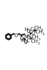 CC(C)(C)OC(=O)N(N1CC(COCc2ccccc2)OC1=O)C(C)(C)C